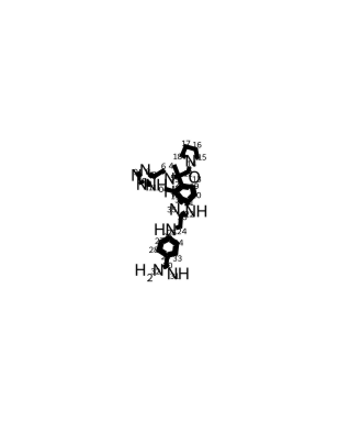 Cc1c(C(C)(NCc2nnn[nH]2)C(=O)N2CCCC2)ccc2[nH]c(CNc3ccc(C(=N)N)cc3)nc12